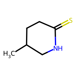 CC1CCC(=S)NC1